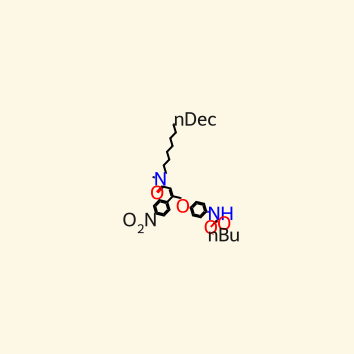 CCCCCCCCCCCCCCCCCCN(C)C(=O)C=C(COc1ccc(NC(=O)OCCCC)cc1)c1ccc([N+](=O)[O-])cc1